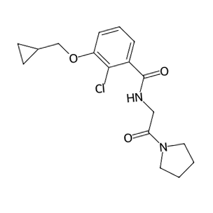 O=C(NCC(=O)N1CCCC1)c1cccc(OCC2CC2)c1Cl